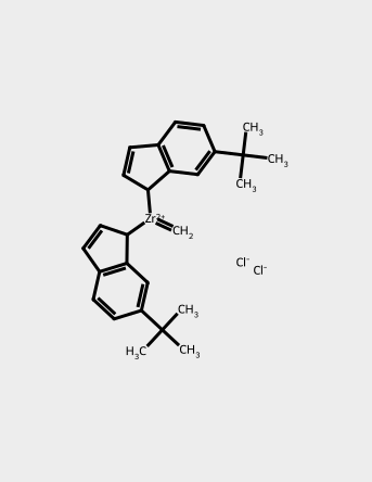 [CH2]=[Zr+2]([CH]1C=Cc2ccc(C(C)(C)C)cc21)[CH]1C=Cc2ccc(C(C)(C)C)cc21.[Cl-].[Cl-]